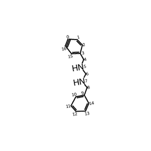 c1ccc(CNCNCc2ccccc2)cc#1